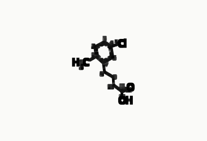 Cc1ccc(Cl)cc1CCCC(=O)O